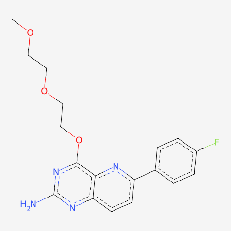 COCCOCCOc1nc(N)nc2ccc(-c3ccc(F)cc3)nc12